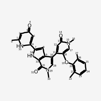 Cc1cc(=O)cc(-c2cc3c(-c4cc(=O)n(C)cc4Oc4c(C)cccc4C)cn(C)c(=O)c3[nH]2)[nH]1